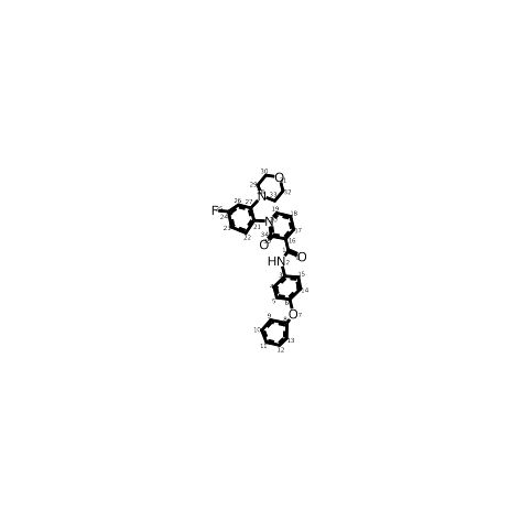 O=C(Nc1ccc(Oc2ccccc2)cc1)c1cccn(-c2ccc(F)cc2N2CCOCC2)c1=O